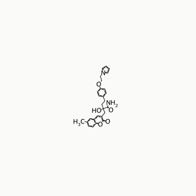 Cc1ccc2oc(=O)c(CC(O)(CCc3ccc(OCCn4cccc4)cc3)C(N)=O)cc2c1